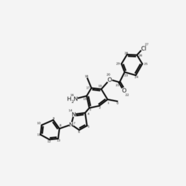 Cc1cc(-c2ccn(-c3ccccc3)n2)c(N)c(C)c1OC(=O)c1ccc(Cl)cc1